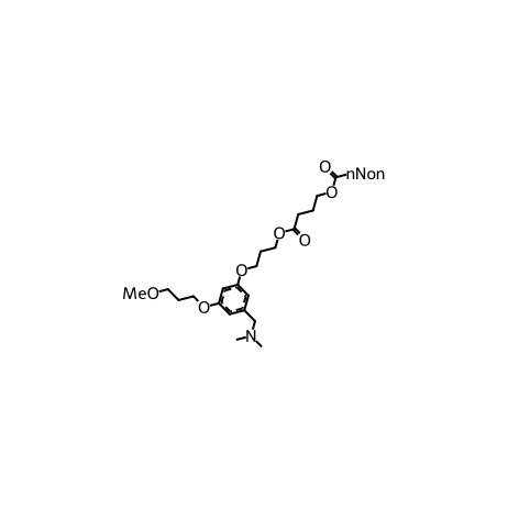 CCCCCCCCCC(=O)OCCCC(=O)OCCCOc1cc(CN(C)C)cc(OCCCOC)c1